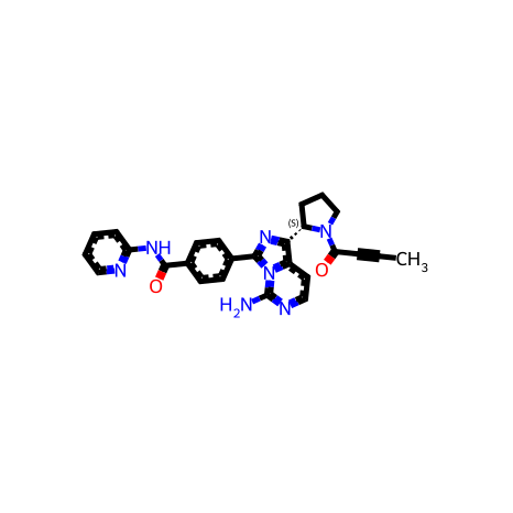 CC#CC(=O)N1CCC[C@H]1c1nc(-c2ccc(C(=O)Nc3ccccn3)cc2)n2c(N)nccc12